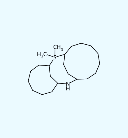 CS1(C)C2CCCCCCCC(CC2)NC2CCCCCCC1C2